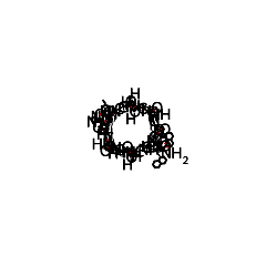 C=CCOC(=O)N1C[C@]23C[C@H]1C(=O)NCC[C@H]1NC(=O)[C@@]4(CC5C(=O)N[C@]6(CC7C(=O)N(Cc8cccc9ccccc89)[C@]8(C[C@@H](C(=O)N[C@@H](Cc9cccc%10ccccc9%10)C(N)=O)N(C8)C(=O)CNC[C@@H]8NC(=O)[C@@]9(C[C@H]%10C(=O)N[C@]%11(C[C@@H](C(=O)N2Cc2cncn2C)N(C%11)C3=O)C(=O)N%10C9)NC8=O)C(=O)N7C6)C(=O)N5C4)NC1=O